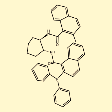 Cc1ccc2ccccc2c1C(=O)N[C@@H]1CCCC[C@H]1NC(=O)c1c(P(c2ccccc2)c2ccccc2)ccc2ccccc12